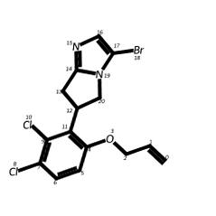 C=CCOc1ccc(Cl)c(Cl)c1C1Cc2ncc(Br)n2C1